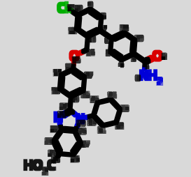 NC(=O)c1ccc(-c2ccc(Cl)cc2COc2ccc(-c3nc4cc(C(=O)O)ccc4n3C3CCCCC3)cc2)cc1